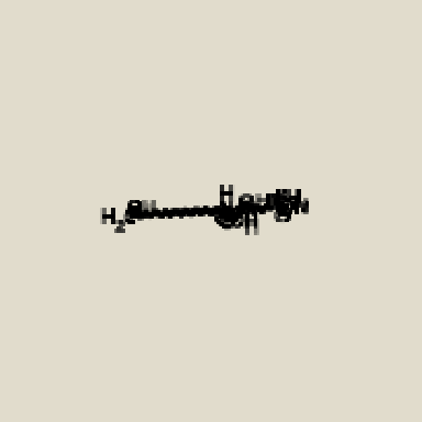 C=C(O)CCCCCCCCCCCCCCCCC(=O)N[C@@H](CCC(=O)NCCCC[C@H](NP)C(=O)O)C(=O)O